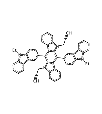 C#CCn1c2ccccc2c2c(-c3ccc4c(c3)c3ccccc3n4CC)c3c(c(-c4ccc5c(c4)c4ccccc4n5CC)c21)c1ccccc1n3CC#C